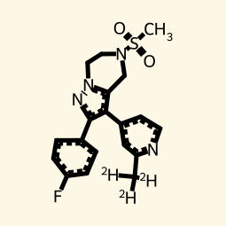 [2H]C([2H])([2H])c1cc(-c2c(-c3ccc(F)cc3)nn3c2CN(S(C)(=O)=O)CC3)ccn1